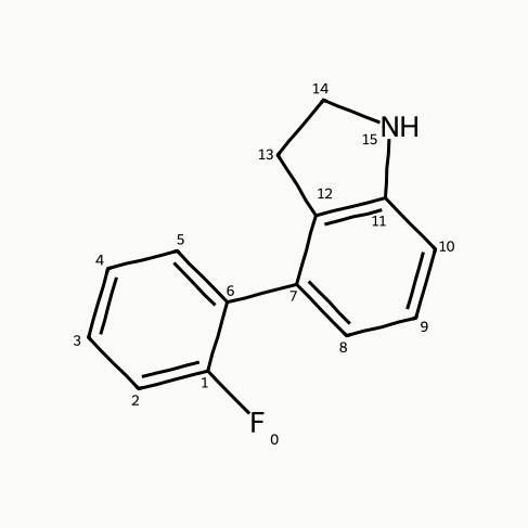 Fc1ccccc1-c1cccc2c1CCN2